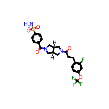 NS(=O)(=O)c1ccc(C(=O)N2C[C@@H]3CN(C(=O)CCc4ccc(OC(F)(F)F)cc4F)C[C@H]3C2)cc1